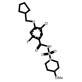 COC1CCN(S(=O)(=O)NC(=O)c2cc(Cl)c(OCC3CCCC3)cc2F)CC1